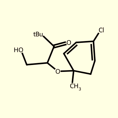 CC1(OC(CO)C(=O)C(C)(C)C)C=CC(Cl)=CC1